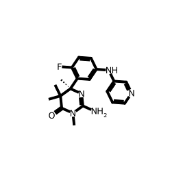 CN1C(=O)C(C)(C)[C@@](C)(c2cc(Nc3cccnc3)ccc2F)N=C1N